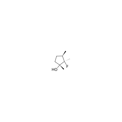 C[C@@H]1CC[C@@](C)(O)[C@]1(C)F